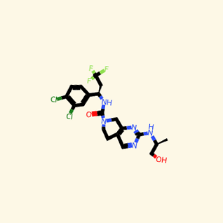 C[C@@H](CO)Nc1ncc2c(n1)CN(C(=O)N[C@H](CC(F)(F)F)c1ccc(Cl)c(Cl)c1)CC2